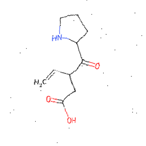 C=CC(CC(=O)O)C(=O)C1CCCN1